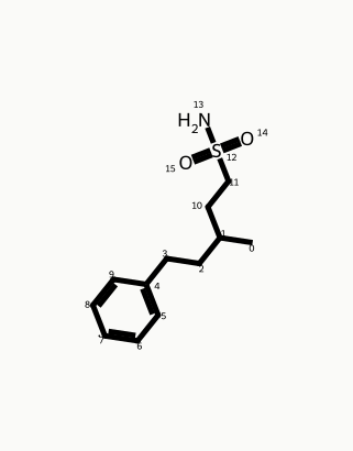 CC(CCc1cc[c]cc1)CCS(N)(=O)=O